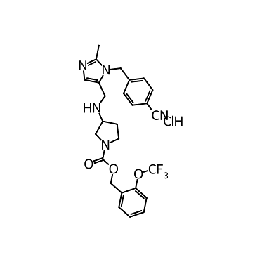 Cc1ncc(CNC2CCN(C(=O)OCc3ccccc3OC(F)(F)F)C2)n1Cc1ccc(C#N)cc1.Cl